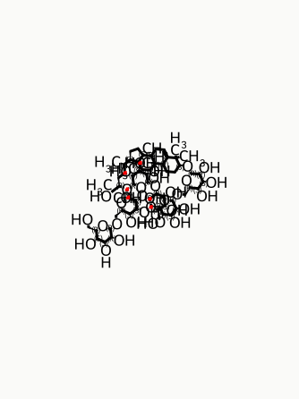 C[C@H](CC[C@@H](O[C@@H]1O[C@H](CO[C@@H]2O[C@H](CO)[C@@H](O)[C@H](O)[C@H]2O)[C@@H](O)[C@H](O)[C@H]1O[C@@H]1O[C@H](CO)[C@@H](O)[C@H](O)[C@H]1O[C@@H]1O[C@H](CO)[C@@H](O)[C@H](O)[C@H]1O)C(C)(C)O)[C@H]1CC[C@@]2(C)[C@@H]3CC=C4[C@@H](CC[C@H](O[C@@H]5O[C@H](CO[C@@H]6O[C@H](CO)[C@@H](O)[C@H](O)[C@H]6O)[C@@H](O)[C@H](O)[C@H]5O)C4(C)C)[C@]3(C)[C@H](O)C[C@]12C